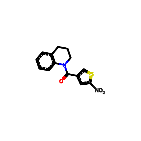 O=C(c1csc([N+](=O)[O-])c1)N1CCCc2ccccc21